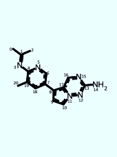 CC(C)=Nc1ncc(-c2ccn3nc(N)ncc23)cc1C